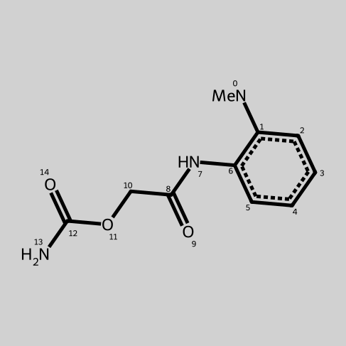 CNc1ccccc1NC(=O)COC(N)=O